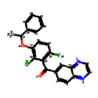 O=C(c1ccc2nccnc2c1)c1c(F)ccc(OC(c2ccccc2)C(F)(F)F)c1Cl